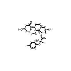 CCC(C)(Oc1ccc(C)cc1)C(=O)O[C@H]1C[C@H](O)C=C2C=C[C@H](C)[C@H](CC[C@@H]3C[C@@H](O)CC(=O)O3)[C@H]21